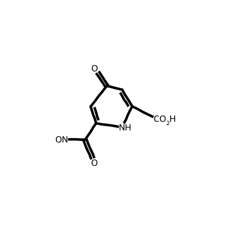 O=NC(=O)c1cc(=O)cc(C(=O)O)[nH]1